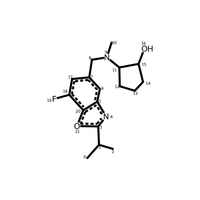 CC(C)c1nc2cc(CN(C)C3CCCC3O)cc(F)c2o1